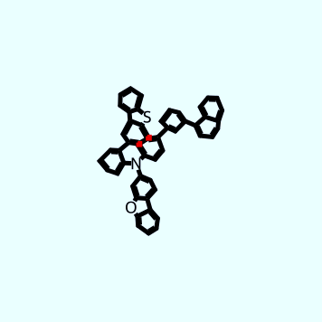 c1cc(-c2ccc(N(c3ccc4c(c3)oc3ccccc34)c3ccccc3-c3ccc4sc5ccccc5c4c3)cc2)cc(-c2cccc3ccccc23)c1